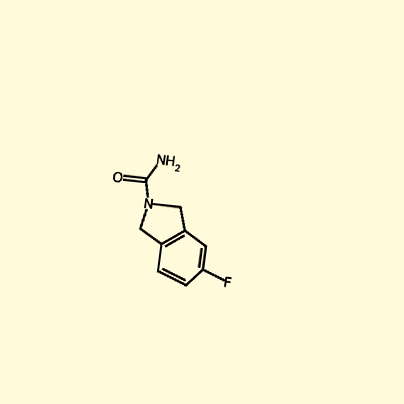 NC(=O)N1Cc2ccc(F)cc2C1